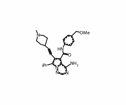 COCc1ccc(NC(=O)c2c(C#CC3CCN(C)CC3)c(C(C)C)n3ncnc(N)c23)cc1